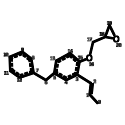 CC=Cc1cc(Cc2ccccc2)ccc1OCC1CO1